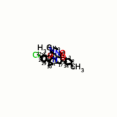 Cc1ccc(OC2(C(=O)N3CCN(C)CC3)CCCN(C(=O)C3(c4ccc(Cl)cc4)CC3)C2)cc1